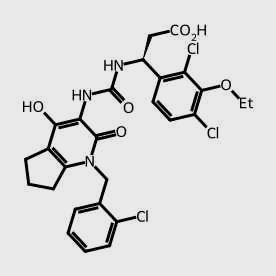 CCOc1c(Cl)ccc([C@H](CC(=O)O)NC(=O)Nc2c(O)c3c(n(Cc4ccccc4Cl)c2=O)CCC3)c1Cl